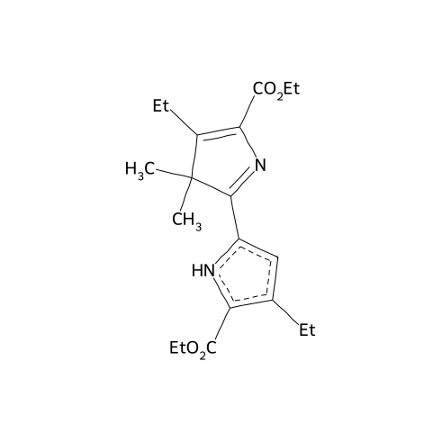 CCOC(=O)C1=C(CC)C(C)(C)C(c2cc(CC)c(C(=O)OCC)[nH]2)=N1